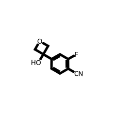 N#Cc1ccc(C2(O)COC2)cc1F